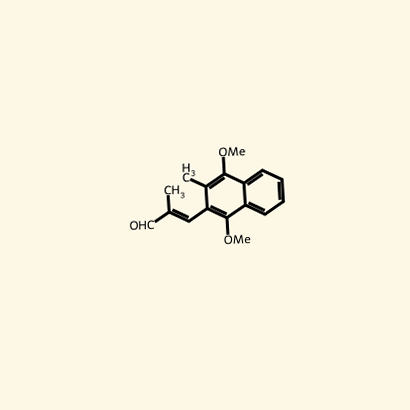 COc1c(C)c(/C=C(\C)C=O)c(OC)c2ccccc12